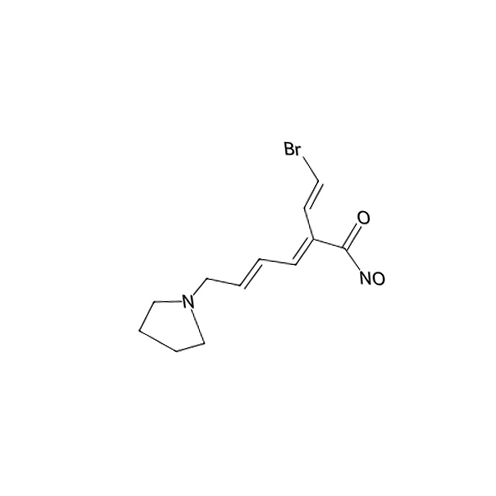 O=NC(=O)C(/C=C/Br)=C/C=C/CN1CCCC1